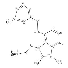 COCCn1c(C)c(C)c2nccc(OCc3cccc(C)c3)c21.Cl